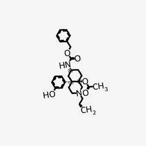 C=CCN1CC[C@@]2(c3cccc(O)c3)C[C@H](NC(=O)OCc3ccccc3)CC[C@]2(OC(C)=O)C1